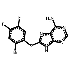 Nc1ncnc2[nH]c(Sc3cc(F)c(F)cc3Br)nc12